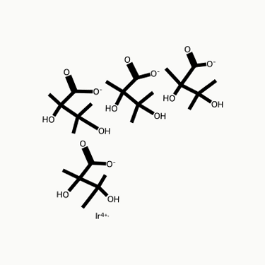 CC(C)(O)C(C)(O)C(=O)[O-].CC(C)(O)C(C)(O)C(=O)[O-].CC(C)(O)C(C)(O)C(=O)[O-].CC(C)(O)C(C)(O)C(=O)[O-].[Ir+4]